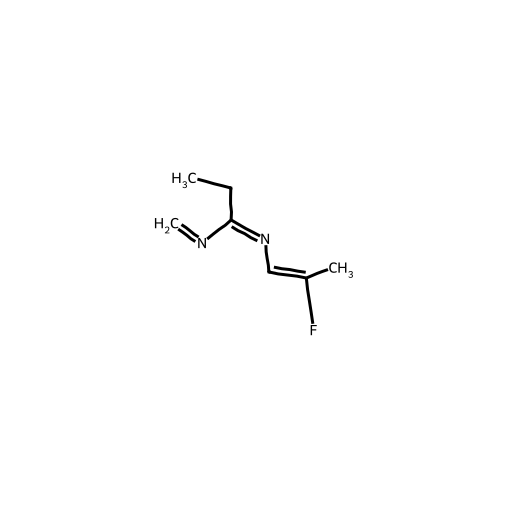 C=N/C(CC)=N\C=C(/C)F